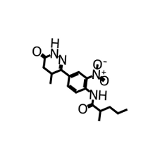 CCCC(C)C(=O)Nc1ccc(C2=NNC(=O)CC2C)cc1[N+](=O)[O-]